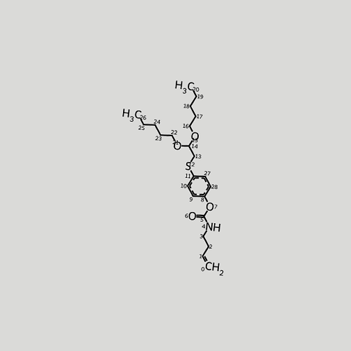 C=CCCNC(=O)Oc1ccc(SCC(OCCCCC)OCCCCC)cc1